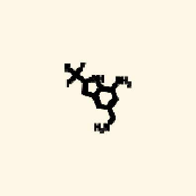 Bc1cc(CN)cc2cc(C(F)(F)F)[nH]c12